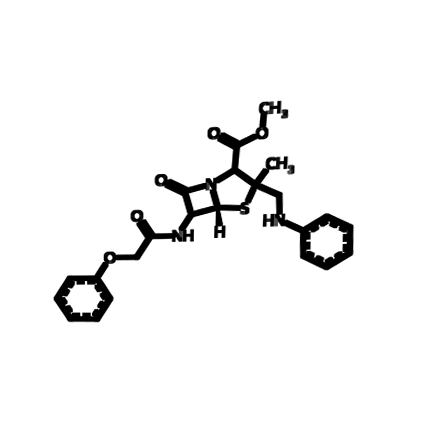 COC(=O)C1N2C(=O)C(NC(=O)COc3ccccc3)[C@H]2SC1(C)CNc1ccccc1